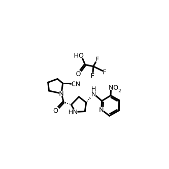 N#C[C@@H]1CCCN1C(=O)[C@@H]1C[C@H](Nc2ncccc2[N+](=O)[O-])CN1.O=C(O)C(F)(F)F